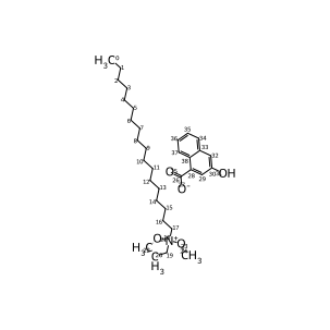 CCCCCCCCCCCCCCCCCC[N+](CC)(OC)OC.O=C([O-])c1cc(O)cc2ccccc12